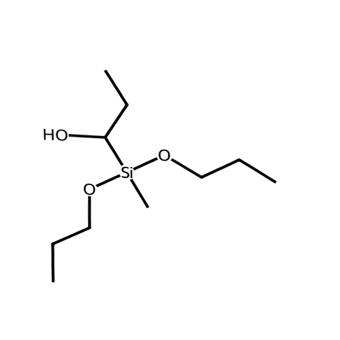 CCCO[Si](C)(OCCC)C(O)CC